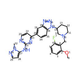 COc1cccc(F)c1CN1CCCC(n2nnc3cc(-c4ccnc(Nc5ccnn5C)n4)ccc32)C1